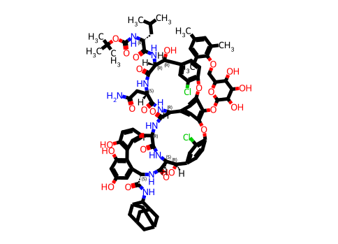 Cc1cc(C)c(OCC2OC(Oc3c4cc5cc3Oc3ccc(cc3Cl)[C@@H](O)[C@@H](NC(=O)[C@@H](CC(C)C)NC(=O)OC(C)(C)C)C(=O)N[C@@H](CC(N)=O)C(=O)N[C@H]5C(=O)N[C@H]3C(=O)N[C@H](C(=O)N[C@H](C(=O)NC5C6CC7CC(C6)CC5C7)c5cc(O)cc(O)c5-c5cc3ccc5O)[C@H](O)c3ccc(c(Cl)c3)O4)C(O)C(O)C2O)c(C)c1